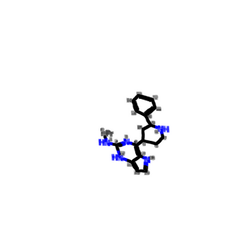 CCCNc1nc(C2CCNC(c3ccccc3)C2)c2nccc-2[nH]1